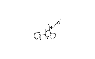 COCCN(C)c1nc(-c2ccccn2)nc2c1CCC2